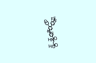 CN(c1ccc(-c2ccc(C(F)(F)F)cc2)c(C2CCOCC2)c1)c1ccc(C(=O)NCCC(=O)O)cn1